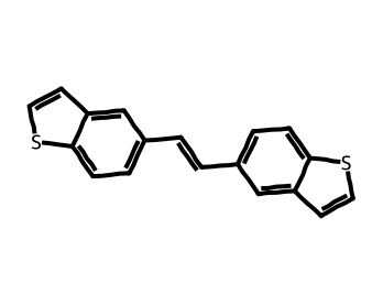 C(=Cc1ccc2sccc2c1)c1ccc2sccc2c1